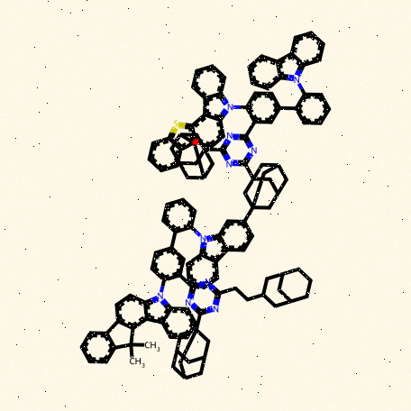 CC1(C)c2ccccc2-c2ccc3c(c21)c1ccccc1n3-c1ccc(-c2ccccc2-n2c3ccccc3c3ccc(C45CC6CC(C4)CC(c4nc(-c7cc(-c8ccccc8-n8c9ccccc9c9ccccc98)ccc7-n7c8ccccc8c8c9sc%10ccccc%10c9ccc87)nc(C78CC9CC(CC(C9)C7)C8)n4)(C6)C5)cc32)cc1-c1nc(CCC2CC3CCCC(C3)C2)nc(C23CC4CC(CC(C4)C2)C3)n1